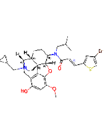 COc1cc(O)c2c3c1O[C@H]1[C@H](N(CC(C)C)C(=O)/C=C/c4cc(Br)cs4)CC[C@H]4[C@@H](C2)N(CC2CC2)CC[C@@]341